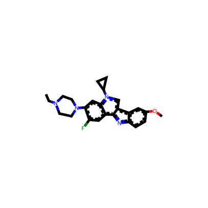 CCN1CCN(c2cc3c(cc2F)c2nc4ccc(OC)cc4c-2cn3C2CC2)CC1